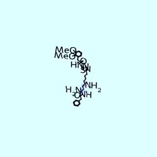 COc1cccc(CC(=O)Nc2nnc(CCCC/C(N)=C/C=C(\N)NC(=O)Cc3ccccc3)s2)c1OC